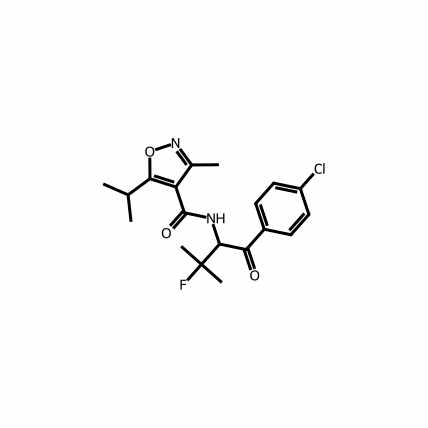 Cc1noc(C(C)C)c1C(=O)NC(C(=O)c1ccc(Cl)cc1)C(C)(C)F